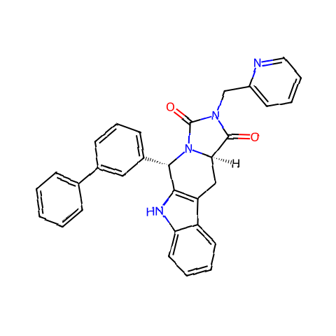 O=C1[C@H]2Cc3c([nH]c4ccccc34)[C@H](c3cccc(-c4ccccc4)c3)N2C(=O)N1Cc1ccccn1